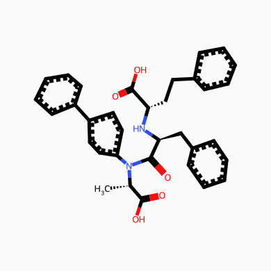 C[C@@H](C(=O)O)N(C(=O)[C@H](Cc1ccccc1)N[C@@H](CCc1ccccc1)C(=O)O)c1ccc(-c2ccccc2)cc1